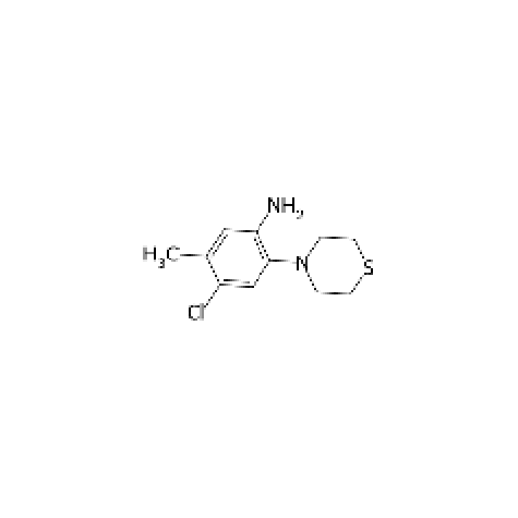 Cc1cc(N)c(N2CCSCC2)cc1Cl